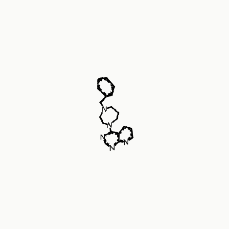 c1ccc(CN2CCCN(c3ncnc4ncccc34)CC2)cc1